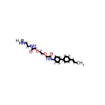 CC=Cc1ccc(-c2ccc(NC(=O)COCCOCC(=O)NCCNC)cc2)cc1